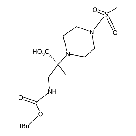 CC(C)(C)OC(=O)NC[C@@](C)(C(=O)O)N1CCN(S(C)(=O)=O)CC1